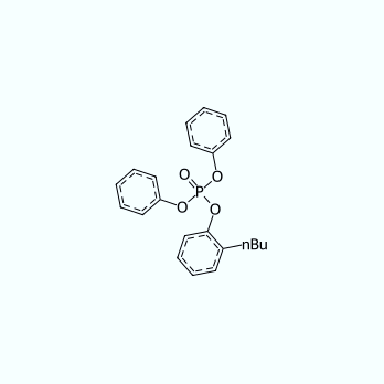 CCCCc1ccccc1OP(=O)(Oc1ccccc1)Oc1ccccc1